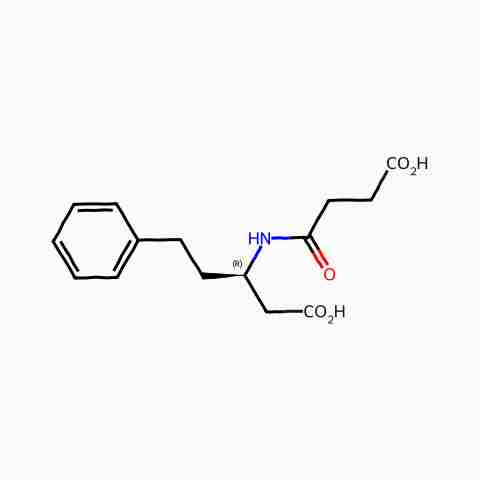 O=C(O)CCC(=O)N[C@H](CCc1ccccc1)CC(=O)O